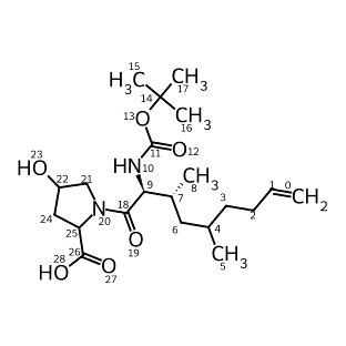 C=CCCC(C)C[C@@H](C)[C@H](NC(=O)OC(C)(C)C)C(=O)N1CC(O)CC1C(=O)O